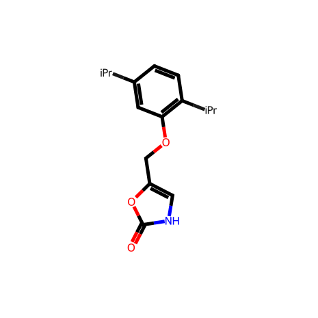 CC(C)c1ccc(C(C)C)c(OCc2c[nH]c(=O)o2)c1